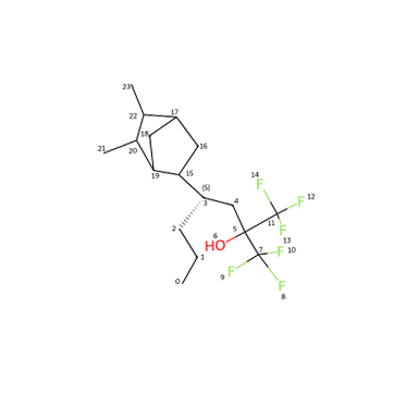 CCC[C@@H](CC(O)(C(F)(F)F)C(F)(F)F)C1CC2CC1C(C)C2C